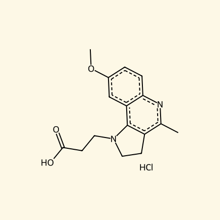 COc1ccc2nc(C)c3c(c2c1)N(CCC(=O)O)CC3.Cl